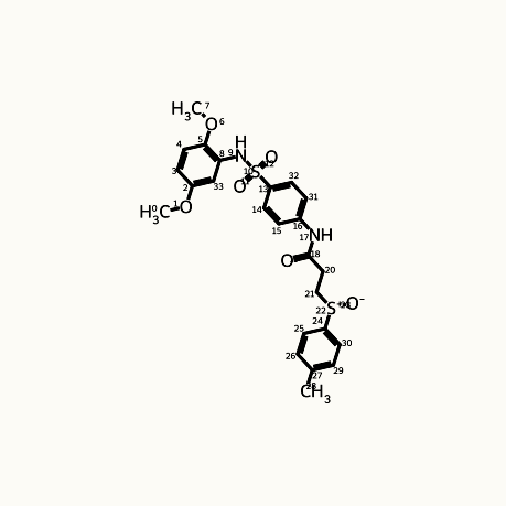 COc1ccc(OC)c(NS(=O)(=O)c2ccc(NC(=O)CC[S+]([O-])c3ccc(C)cc3)cc2)c1